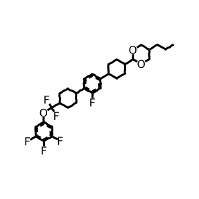 CCCC1COC(C2CCC(c3ccc(C4CCC(C(F)(F)Oc5cc(F)c(F)c(F)c5)CC4)c(F)c3)CC2)OC1